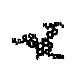 C=CC(=O)N1CCn2nc(-c3nc(-c4ccc5c(c4)CCC5N(C)C)c4ccsc4c3-c3c(F)cc(F)cc3OCCOC)cc2C1C